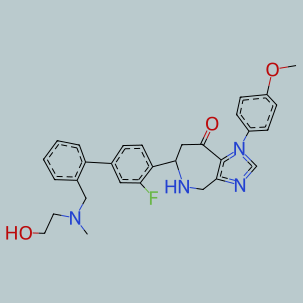 COc1ccc(-n2cnc3c2C(=O)CC(c2ccc(-c4ccccc4CN(C)CCO)cc2F)NC3)cc1